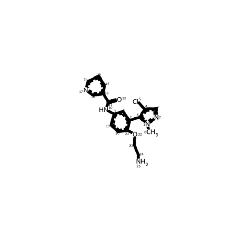 Cn1ncc(Cl)c1-c1cc(NC(=O)c2cccnc2)ccc1OCCN